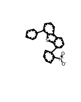 O=[N+]([O-])c1ccccc1-c1cccc2c1sc1c(-c3ccccc3)cccc12